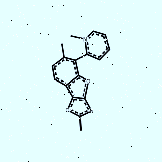 Cc1nc2oc3c(-c4cccc[n+]4C)c(C)ccc3c2o1